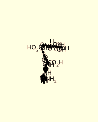 Cc1nc(N)c2nc(CNc3ccc(C(=O)N[C@@H](CCC(=O)OCCSSC[C@H](NC(=O)[C@@H](C)CCC(=O)NC[C@H](O)[C@@H](O)[C@H](O)[C@H](O)CO)C(=O)O)C(=O)O)cc3)cnc2n1